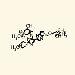 C[C@H]1C[C@H](Nc2nc(N3CCN(C)CC3)ncc2-c2cnc3c(ccn3COCC[Si](C)(C)C)n2)CN(S(C)(=O)=O)C1